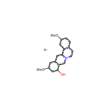 COc1cc(O)c2c[n+]3ccc4ccc(OC)cc4c3cc2c1.[Br-]